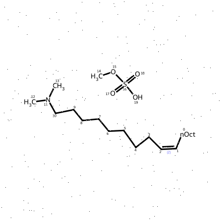 CCCCCCCC/C=C\CCCCCCCCN(C)C.COS(=O)(=O)O